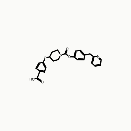 O=C(O)c1ccc(OC2CCN(C(=O)Oc3ccc(Cc4ccccn4)cc3)CC2)cc1